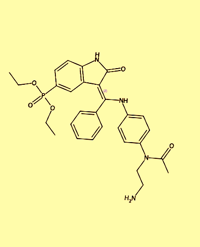 CCOP(=O)(OCC)c1ccc2c(c1)/C(=C(/Nc1ccc(N(CCN)C(C)=O)cc1)c1ccccc1)C(=O)N2